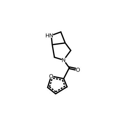 O=C(c1ccco1)N1CC2CNC2C1